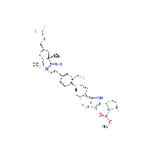 C[C@H]1CC[C@@H](c2nc3ccc4cc5c(cc4c3[nH]2)OCc2cc(-c3cnc([C@@]4(C(C)(C)C)C[C@H](COC(F)F)CN4C(=O)O)[nH]3)ccc2-5)N1C(=O)OC(C)(C)C